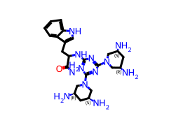 NC(=O)C(Cc1c[nH]c2ccccc12)Nc1nc(N2C[C@H](N)C[C@H](N)C2)nc(N2C[C@H](N)C[C@H](N)C2)n1